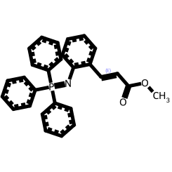 COC(=O)/C=C/c1ccccc1N=P(c1ccccc1)(c1ccccc1)c1ccccc1